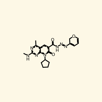 CNc1nc(C)c2cc(C(=O)NN=NC3=CC=COC3)c(=O)n(C3CCCC3)c2n1